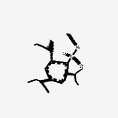 C=NS(=O)(=O)c1c(C(C)C)cc(C(C)C)cc1C(C)C